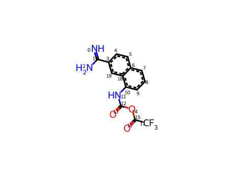 N=C(N)c1ccc2cccc(NC(=O)OC(=O)C(F)(F)F)c2c1